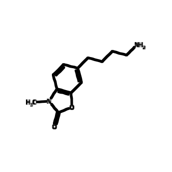 Cn1c(=O)oc2cc(CCCCN)ccc21